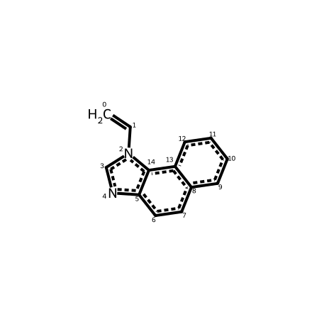 C=Cn1cnc2ccc3ccccc3c21